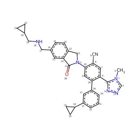 Cn1cnnc1-c1cc(C#N)c(N2Cc3ccc(CNCC4CC4)cc3C2=O)cc1-c1cccc(C2CC2)c1